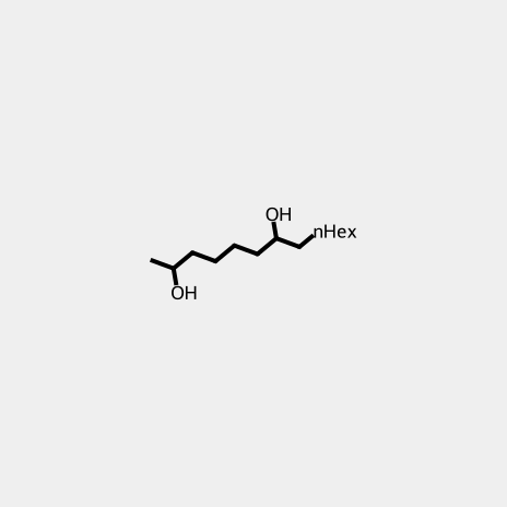 CCCCCCCC(O)CCCCC(C)O